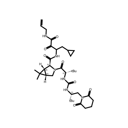 C=CCNC(=O)C(=O)C(CC1CC1)NC(=O)[C@@H]1[C@@H]2[C@H](CN1C(=O)[C@@H](NC(=O)N[C@H](CN1C(=O)CCCC1=O)C(C)(C)C)C(C)(C)C)C2(C)C